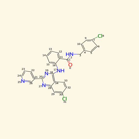 O=C(NCc1ccc(Cl)cc1)c1ccccc1Nc1nc(-c2cccnc2)nc2cc(Cl)ccc12